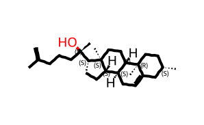 C=C(C)CCC[C@](C)(O)[C@H]1CC[C@H]2[C@@H]3CC=C4C[C@@H](C)CC[C@]4(C)[C@H]3CC[C@@]21C